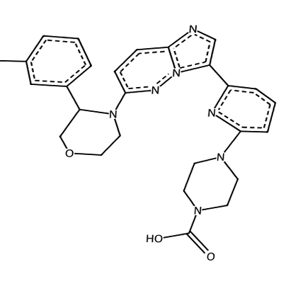 O=C(O)N1CCN(c2cccc(-c3cnc4ccc(N5CCOCC5c5cccc(F)c5)nn34)n2)CC1